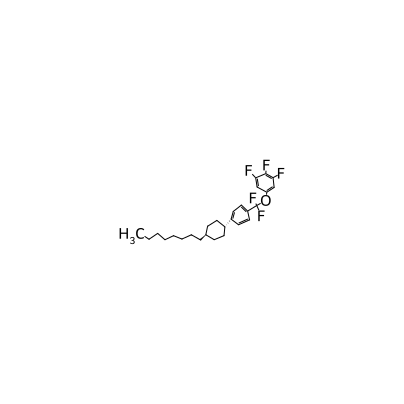 CCCCCCCC[C@H]1CC[C@H](c2ccc(C(F)(F)Oc3cc(F)c(F)c(F)c3)cc2)CC1